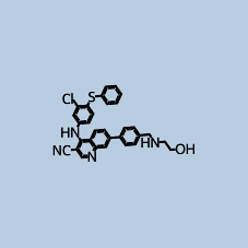 N#Cc1cnc2cc(-c3ccc(CNCCO)cc3)ccc2c1Nc1ccc(Sc2ccccc2)c(Cl)c1